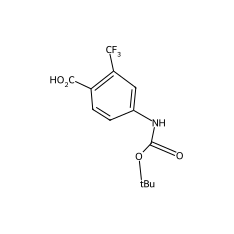 CC(C)(C)OC(=O)Nc1ccc(C(=O)O)c(C(F)(F)F)c1